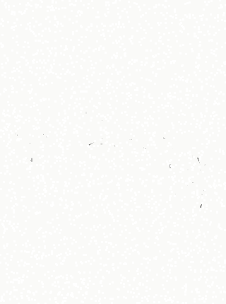 CC1(C)[C@@H]2CC[C@@]1(C)[C@@H](NC(=O)[C@@H](CC1CCCCC1)NC(=O)N[C@@H](CCCNC(=N)N)C(=O)O)C2